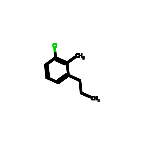 CCCc1cccc(Cl)c1C